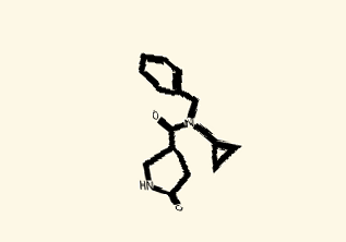 O=C1CC(C(=O)N(Cc2ccccc2)C2CC2)CN1